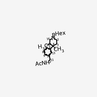 CCCCCCN1CCC(C)(c2cccc(CNC(C)=O)c2)C(C)C1